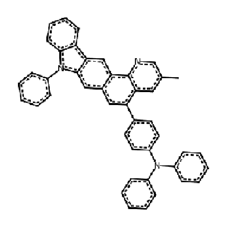 Cc1cnc2c(c1)c(-c1ccc(N(c3ccccc3)c3ccccc3)cc1)cc1cc3c(cc12)c1ccccc1n3-c1ccccc1